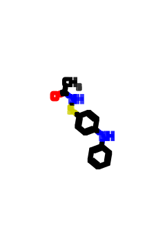 CC(=O)NSc1ccc(Nc2ccccc2)cc1